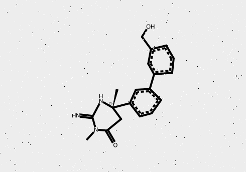 CN1C(=N)N[C@](C)(c2cccc(-c3cccc(CO)c3)c2)CC1=O